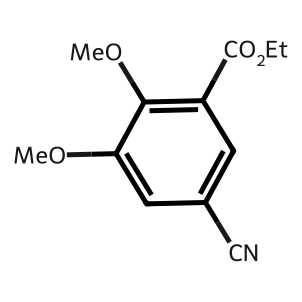 CCOC(=O)c1cc(C#N)cc(OC)c1OC